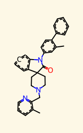 Cc1cc(N2C(=O)C3(CCN(Cc4ncccc4C)CC3)c3ccccc32)ccc1-c1ccccc1